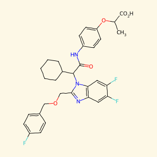 CC(Oc1ccc(NC(=O)C(C2CCCCC2)n2c(COCc3ccc(F)cc3)nc3cc(F)c(F)cc32)cc1)C(=O)O